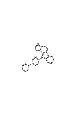 c1ccc(-c2ccc(-n3c4ccccc4c4ccc5sccc5c43)nc2)cc1